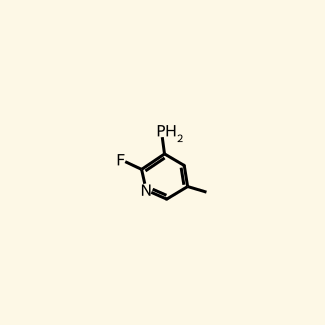 Cc1cnc(F)c(P)c1